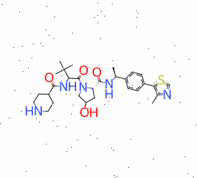 Cc1ncsc1-c1ccc([C@H](C)NC(=O)[C@@H]2C[C@@H](O)CN2C(=O)[C@@H](NC(=O)C2CCNCC2)C(C)(C)C)cc1